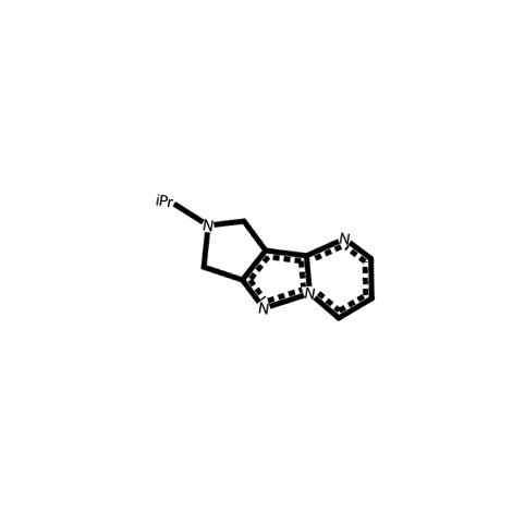 CC(C)N1Cc2nn3cccnc3c2C1